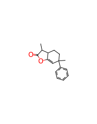 CC1C(=O)OC2=CC(C)(c3ccccc3)CCC21